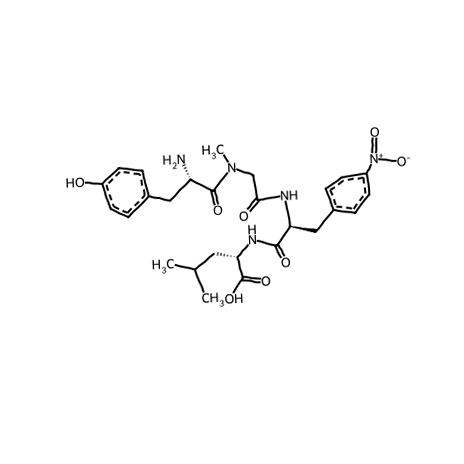 CC(C)C[C@H](NC(=O)[C@H](Cc1ccc([N+](=O)[O-])cc1)NC(=O)CN(C)C(=O)[C@@H](N)Cc1ccc(O)cc1)C(=O)O